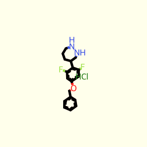 Cl.Fc1cc(OCc2ccccc2)cc(F)c1C1CCCNNC1